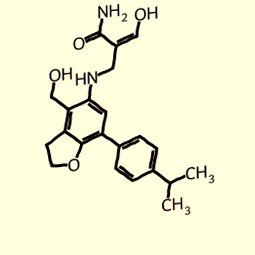 CC(C)c1ccc(-c2cc(NCC(=CO)C(N)=O)c(CO)c3c2OCC3)cc1